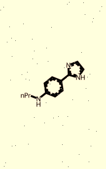 CCCNc1ccc(-c2ncc[nH]2)cc1